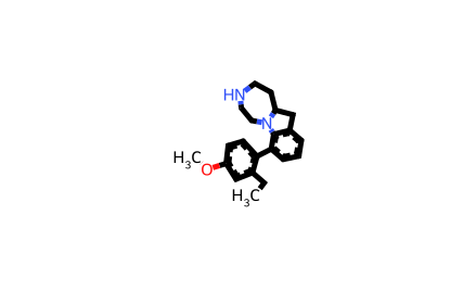 CCc1cc(OC)ccc1-c1cccc2c1N1CCNCCC1C2